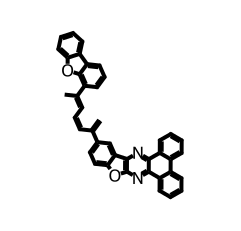 C=C(/C=C\C=C(/C)c1cccc2c1oc1ccccc12)c1ccc2oc3nc4c5ccccc5c5ccccc5c4nc3c2c1